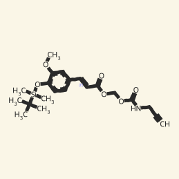 C#CCNC(=O)OCOC(=O)/C=C/c1ccc(O[Si](C)(C)C(C)(C)C)c(OC)c1